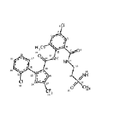 Cc1cc(Cl)cc(C(=O)NCCS(C)(=N)=O)c1NC(=O)c1cc(C(F)(F)F)nn1-c1ncccc1Cl